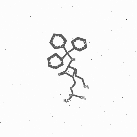 CCCCC1(NC(c2ccccc2)(c2ccccc2)c2ccccc2)CN(CO[SiH](C)C)C1=O